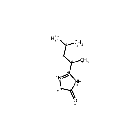 CC(C)CC(C)c1nsc(=O)[nH]1